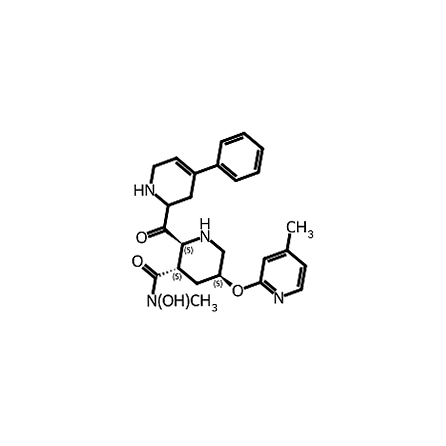 Cc1ccnc(O[C@@H]2CN[C@H](C(=O)C3CC(c4ccccc4)=CCN3)[C@@H](C(=O)N(C)O)C2)c1